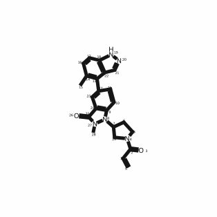 C=CC(=O)N1CCC(n2c3ccc(-c4c(C)ccc5[nH]ncc45)cc3c(=O)n2C)C1